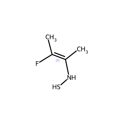 C/C(F)=C(\C)NS